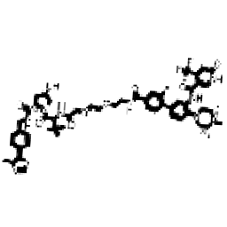 Cc1ncsc1-c1ccc(CNC(=O)[C@@H]2C[C@@H](O)CN2C(=O)C(NC(=O)COCCOCCNC(=O)c2ccc(-c3ccc(N4C[C@@H](C)N(C)[C@@H](C)C4)c(NC(=O)c4c[nH]c(=O)cc4C(F)(F)F)c3)c(F)c2)C(C)(C)C)cc1